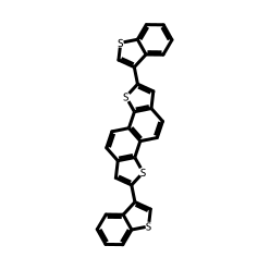 c1ccc2c(-c3cc4ccc5c(ccc6cc(-c7csc8ccccc78)sc65)c4s3)csc2c1